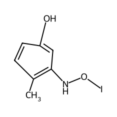 Cc1ccc(O)cc1NOI